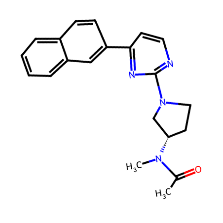 CC(=O)N(C)[C@H]1CCN(c2nccc(-c3ccc4ccccc4c3)n2)C1